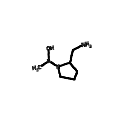 CB(O)N1CCCC1CN